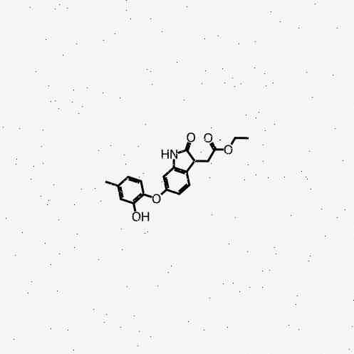 CCOC(=O)CC1C(=O)Nc2cc(Oc3ccc(C)cc3O)ccc21